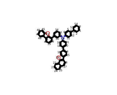 c1ccc(-c2ccc(N(c3ccc(-c4ccc5c(c4)oc4c6ccccc6ccc54)cc3)c3cccc(-c4cccc5c4oc4ccccc45)c3)cc2)cc1